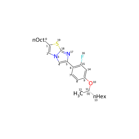 CCCCCCCCc1cn2cc(-c3ccc(O[C@@H](C)CCCCCC)cc3F)nc2s1